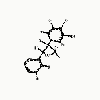 Brc1cccc(C(Br)(Br)C(Br)(c2c(Br)c(Br)c(Br)c(Br)c2Br)C(Br)(Br)Br)c1Br